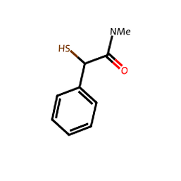 CNC(=O)C(S)c1ccccc1